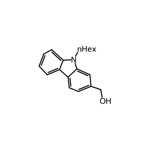 CCCCCCn1c2ccccc2c2ccc(CO)cc21